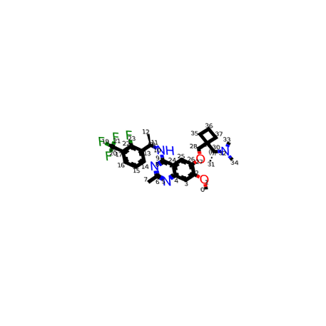 COc1cc2nc(C)nc(N[C@H](C)c3cccc(C(F)(F)F)c3F)c2cc1OCC1([C@@H](C)N(C)C)CCC1